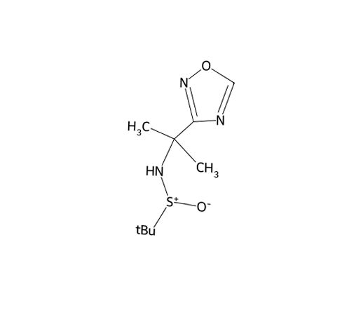 CC(C)(N[S+]([O-])C(C)(C)C)c1ncon1